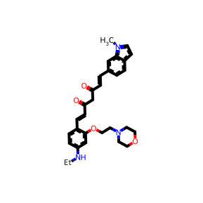 CCNc1ccc(/C=C/C(=O)CC(=O)/C=C/c2ccc3ccn(C)c3c2)c(OCCN2CCOCC2)c1